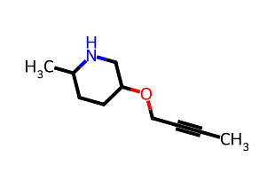 CC#CCOC1CCC(C)NC1